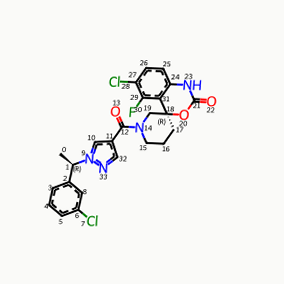 C[C@H](c1cccc(Cl)c1)n1cc(C(=O)N2CCC[C@@]3(C2)OC(=O)Nc2ccc(Cl)c(F)c23)cn1